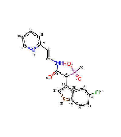 CP(=O)(O)C(C(=O)NC=Cc1ccccn1)c1csc2ccc(Cl)cc12